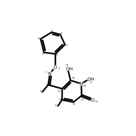 CC(=NOc1ccccc1)c1c(C)cc(=O)n(O)c1O